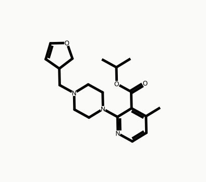 Cc1ccnc(N2CCN(CC3C=COC3)CC2)c1C(=O)OC(C)C